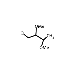 COC(C)C(C[O])OC